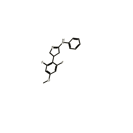 COc1cc(F)c(C2CN=C(Nc3ccccc3)C2)c(F)c1